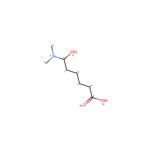 CN(C)C(O)CCCCC(=O)O